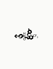 Cc1cccc(Cn2c(C(=O)Nc3ccc(N4CCC4)nc3)cc3ccc(C(F)(F)F)nc32)c1